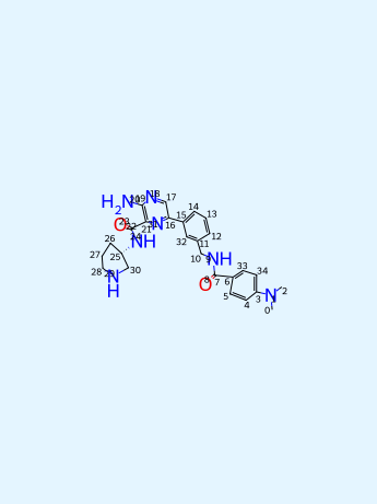 CN(C)c1ccc(C(=O)NCc2cccc(-c3cnc(N)c(C(=O)N[C@H]4CCCNC4)n3)c2)cc1